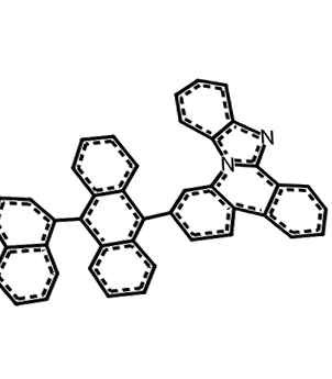 c1ccc2c(-c3c4ccccc4c(-c4ccc5c6ccccc6c6nc7ccccc7n6c5c4)c4ccccc34)cccc2c1